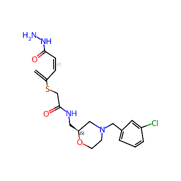 C=C(/C=C\C(=O)NN)SCC(=O)NC[C@H]1CN(Cc2cccc(Cl)c2)CCO1